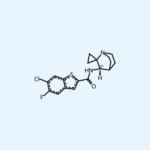 O=C(N[C@H]1C2CCN(CC2)C12CC2)c1cc2cc(F)c(Cl)cc2s1